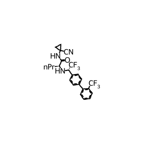 CCC[C@H](N[C@@H](c1ccc(-c2ccccc2C(F)(F)F)cc1)C(F)(F)F)C(=O)NC1(C#N)CC1